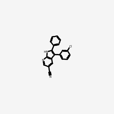 N#Cc1cnc2[nH]c(-c3ccccc3)c(-c3cccc(Cl)c3)c2c1